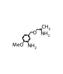 COc1ccc(COC[C@@H](C)N)cc1N